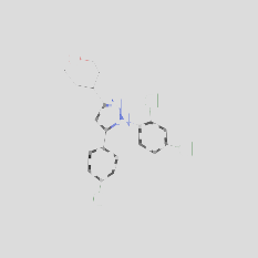 Clc1ccc(-c2cc(C3CCOCC3)nn2-c2ccc(Cl)cc2Cl)cc1